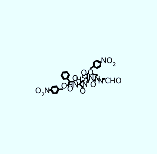 O=C/C=N/N1CCN([C@]2(C(=O)OCc3ccc([N+](=O)[O-])cc3)CN3C(=O)[C@@H](NC(=O)C(C(=O)OCc4ccc([N+](=O)[O-])cc4)c4ccccc4)[C@H]3S2)C1=O